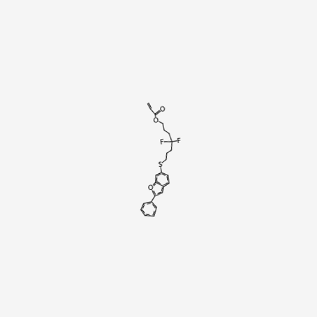 C=CC(=O)OCCCC(F)(F)CCCSc1ccc2cc(-c3ccccc3)oc2c1